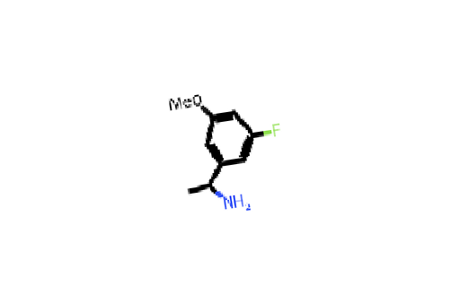 COc1cc(F)cc(C(C)N)c1